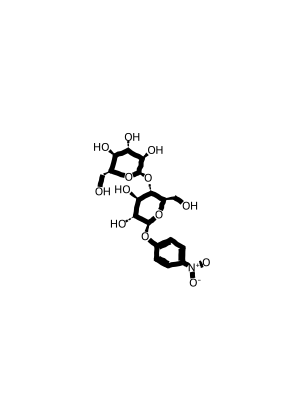 O=[N+]([O-])c1ccc(O[C@@H]2O[C@H](CO)[C@@H](O[C@H]3O[C@H](CO)[C@@H](O)[C@H](O)[C@H]3O)[C@H](O)[C@H]2O)cc1